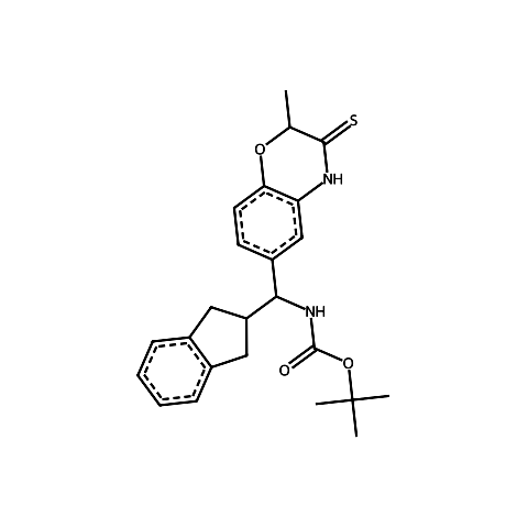 CC1Oc2ccc(C(NC(=O)OC(C)(C)C)C3Cc4ccccc4C3)cc2NC1=S